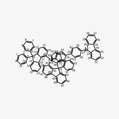 c1ccc(C2(c3ccccc3)c3ccccc3-c3c(N(c4ccc(-c5ccc(-n6c7ccccc7c7ccccc76)cc5)cc4)c4cccc5c4C(c4ccccc4)(c4ccccc4)c4ccccc4-5)cccc32)cc1